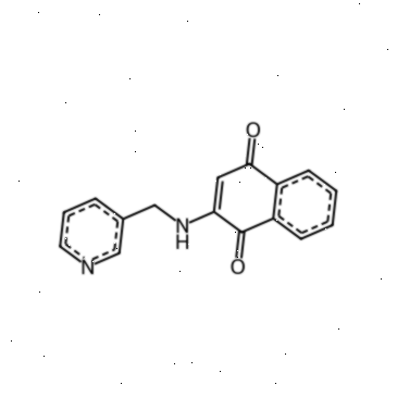 O=C1C=C(NCc2cccnc2)C(=O)c2ccccc21